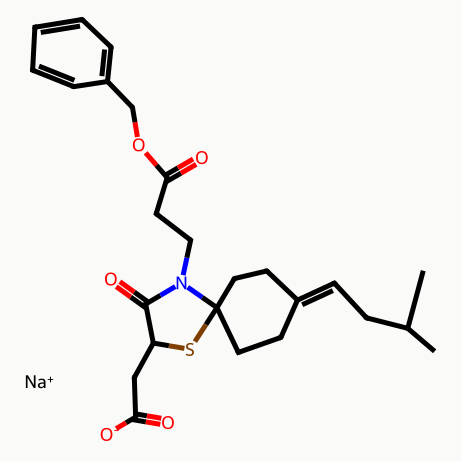 CC(C)CC=C1CCC2(CC1)SC(CC(=O)[O-])C(=O)N2CCC(=O)OCc1ccccc1.[Na+]